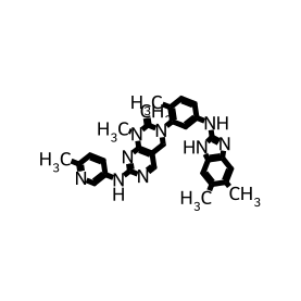 C=C1N(C)c2nc(Nc3ccc(C)nc3)ncc2CN1c1cc(Nc2nc3cc(C)c(C)cc3[nH]2)ccc1C